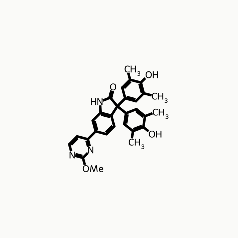 COc1nccc(-c2ccc3c(c2)NC(=O)C3(c2cc(C)c(O)c(C)c2)c2cc(C)c(O)c(C)c2)n1